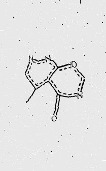 Cc1cnnc2ocnc(=O)c12